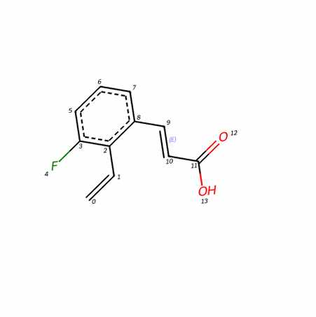 C=Cc1c(F)cccc1/C=C/C(=O)O